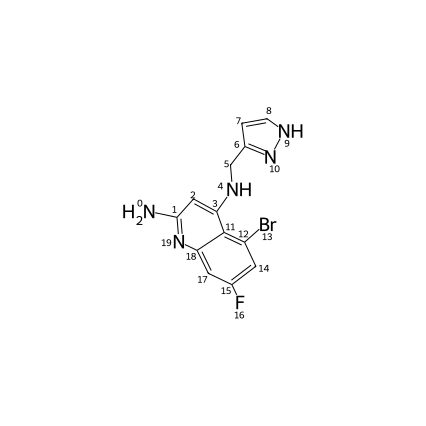 Nc1cc(NCc2cc[nH]n2)c2c(Br)cc(F)cc2n1